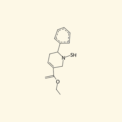 C=C(OCC)C1=CCC(c2ccccc2)N(S)C1